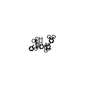 COc1ccc(C2=NN(C3CCN(C(=O)[C@H](Cc4ccccc4)NC(=O)O)CC3)C(=O)C(C)(C)C2)cc1OC